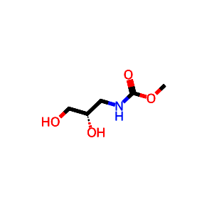 COC(=O)NC[C@H](O)CO